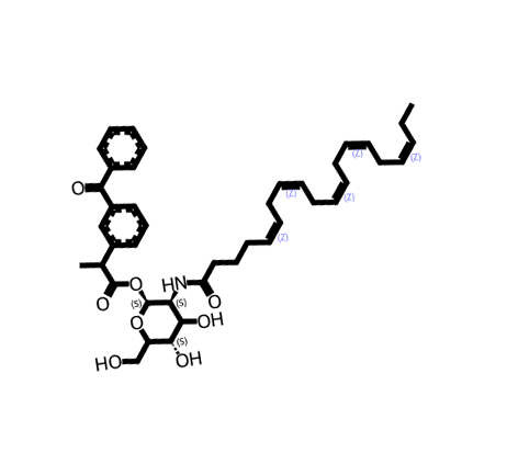 CC/C=C\C/C=C\C/C=C\C/C=C\C/C=C\CCCC(=O)N[C@H]1C(O)[C@H](O)C(CO)O[C@H]1OC(=O)C(C)c1cccc(C(=O)c2ccccc2)c1